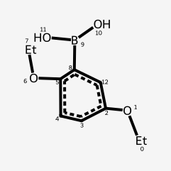 CCOc1ccc(OCC)c(B(O)O)c1